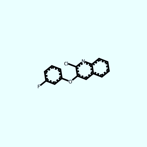 Fc1cccc(Oc2cc3ccccc3nc2Cl)c1